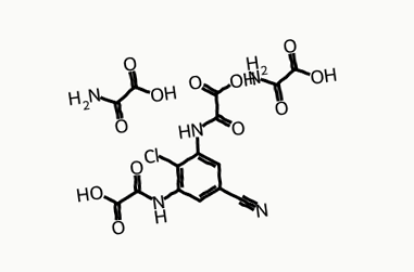 N#Cc1cc(NC(=O)C(=O)O)c(Cl)c(NC(=O)C(=O)O)c1.NC(=O)C(=O)O.NC(=O)C(=O)O